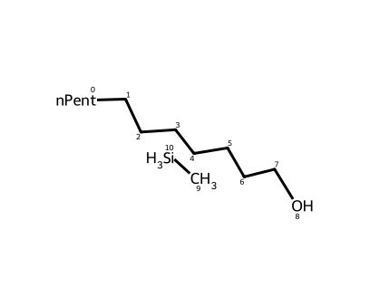 CCCCCCCCCCCCO.C[SiH3]